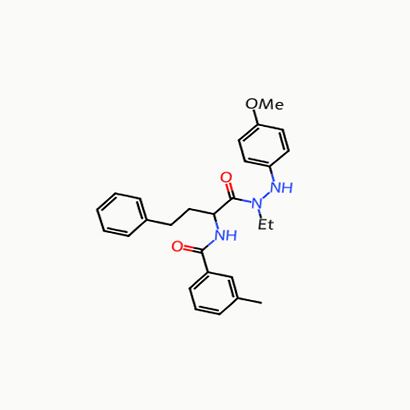 CCN(Nc1ccc(OC)cc1)C(=O)C(CCc1ccccc1)NC(=O)c1cccc(C)c1